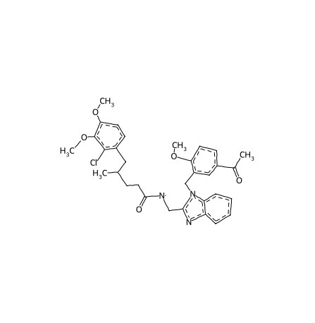 COc1ccc(C(C)=O)cc1Cn1c(C[N]C(=O)CCC(C)Cc2ccc(OC)c(OC)c2Cl)nc2ccccc21